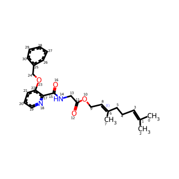 CC(C)=CCC/C(C)=C/COC(=O)CNC(=O)c1ncccc1OCc1ccccc1